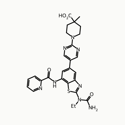 CCN(C(N)=O)c1nc2cc(-c3cnc(N4CCC(C)(C(=O)O)CC4)nc3)cc(NC(=O)c3ccccn3)c2s1